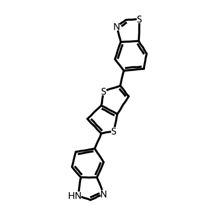 c1nc2cc(-c3cc4sc(-c5ccc6scnc6c5)cc4s3)ccc2[nH]1